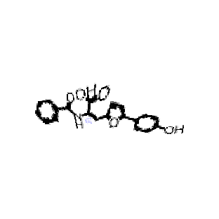 O=C(O)/C(=C\c1ccc(-c2ccc(O)cc2)o1)NC(=O)c1ccccc1